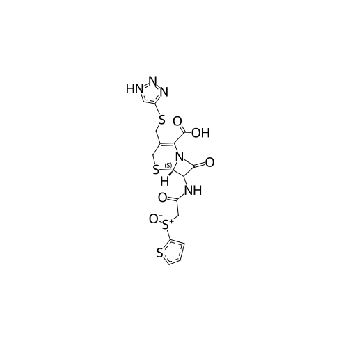 O=C(C[S+]([O-])c1cccs1)NC1C(=O)N2C(C(=O)O)=C(CSc3c[nH]nn3)CS[C@@H]12